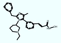 CCN1CCCC(n2c(Cc3ccccc3)nc(C)c2-c2cccc(C=CC(=O)NO)c2)C1